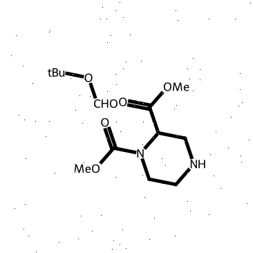 CC(C)(C)OC=O.COC(=O)C1CNCCN1C(=O)OC